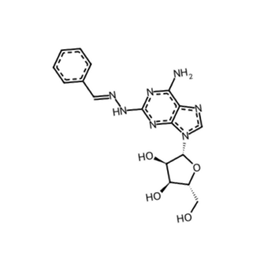 Nc1nc(NN=Cc2ccccc2)nc2c1ncn2[C@@H]1O[C@H](CO)[C@@H](O)[C@H]1O